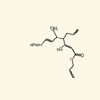 C=CCOC(=O)C=C(O)C(CC=C)C(O)C=CCCCCC